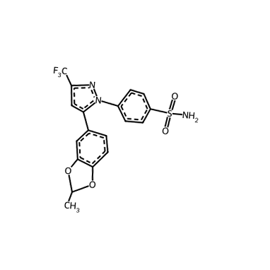 CC1Oc2ccc(-c3cc(C(F)(F)F)nn3-c3ccc(S(N)(=O)=O)cc3)cc2O1